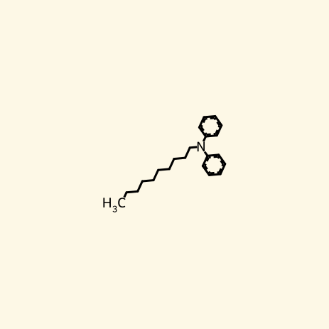 CCCCCCCCCCN(c1ccccc1)c1ccccc1